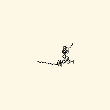 CCCCCCCCCCCCCc1cnc(-c2ccc(C(=O)O)c(-c3ccc(C(=O)O[C@@H](CCCCCC)C(F)(F)F)cc3)c2)nc1